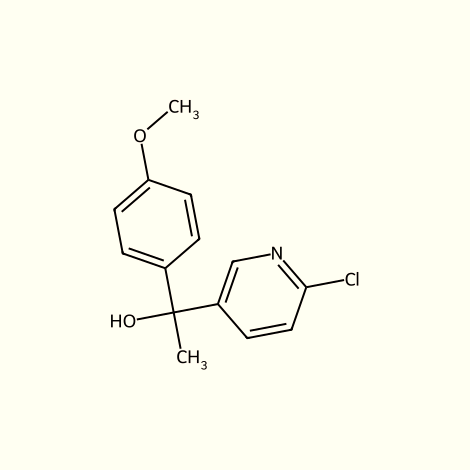 COc1ccc(C(C)(O)c2ccc(Cl)nc2)cc1